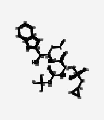 CCC[C@H](NC(=O)[C@H](CS(=O)(=O)CC1CC1)NC(=O)OC(C)(C)C)C(O)c1nc2ccccc2o1